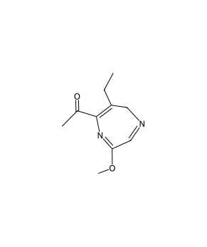 CCC1=C(C(C)=O)N=C(OC)C=NC1